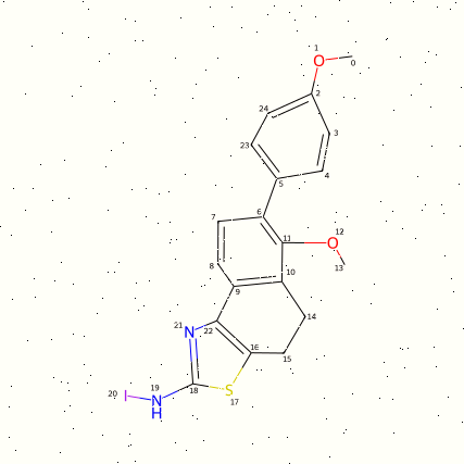 COc1ccc(-c2ccc3c(c2OC)CCc2sc(NI)nc2-3)cc1